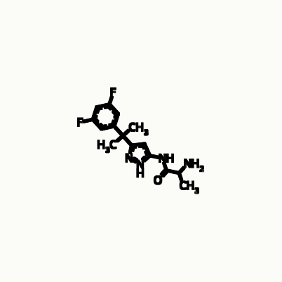 CC(N)C(=O)Nc1cc(C(C)(C)c2cc(F)cc(F)c2)n[nH]1